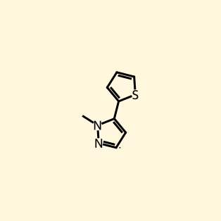 Cn1n[c]cc1-c1cccs1